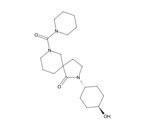 O=C(N1CCCCC1)N1CCCC2(CCN([C@H]3CC[C@H](O)CC3)C2=O)C1